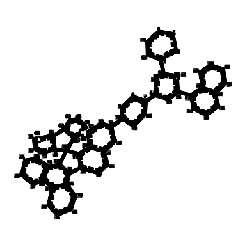 c1ccc(-c2nc(-c3ccc(-c4ccc5c6c(ccc5c4)-c4c(c5ccccc5c5ccccc45)C64c5ccccc5-c5ccccc54)cc3)cc(-c3cccc4ccccc34)n2)cc1